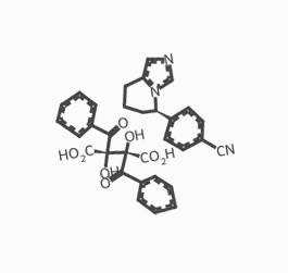 N#Cc1ccc([C@H]2CCCc3cncn32)cc1.O=C(O)[C@@](O)(C(=O)c1ccccc1)[C@@](O)(C(=O)O)C(=O)c1ccccc1